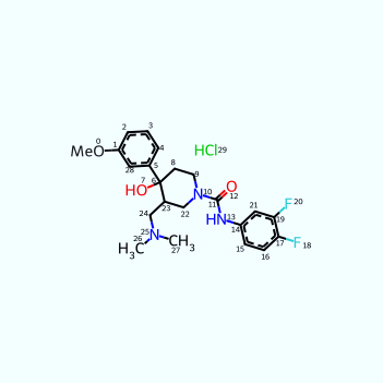 COc1cccc(C2(O)CCN(C(=O)Nc3ccc(F)c(F)c3)CC2CN(C)C)c1.Cl